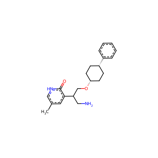 Cc1c[nH]c(=O)c(C(CN)CO[C@H]2CC[C@@H](c3ccccc3)CC2)c1